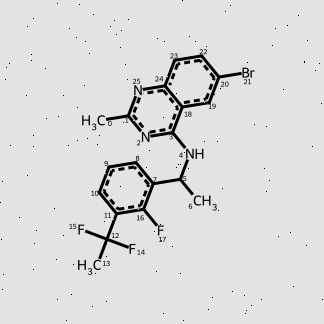 Cc1nc(NC(C)c2cccc(C(C)(F)F)c2F)c2cc(Br)ccc2n1